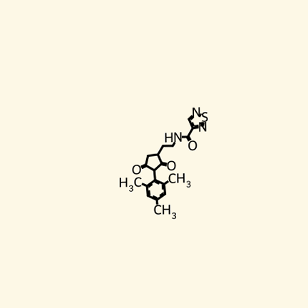 Cc1cc(C)c(C2C(=O)CC(CCNC(=O)c3cnsn3)C2=O)c(C)c1